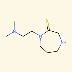 CN(C)CCN1CCCNCC1=S